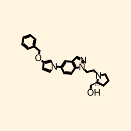 OC[C@@H]1CCCN1CCn1ncc2cc(-n3ccc(OCc4ccccc4)c3)ccc21